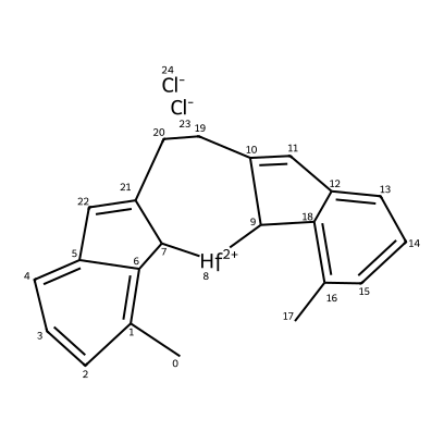 Cc1cccc2c1[CH]1[Hf+2][CH]3C(=Cc4cccc(C)c43)CCC1=C2.[Cl-].[Cl-]